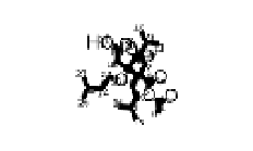 CC(=O)OC(=O)C(CCC(C)C)(CCC(C)C)C(CC(=O)O)(OCCC(C)C)C(=O)O